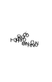 C[C@@H](O)[C@H]1C(=O)N2C(C(=O)OCOC(=O)C(C)(C)C)=C(c3cccc(CNCCC(=O)Nc4cccnc4)c3)C[C@H]12